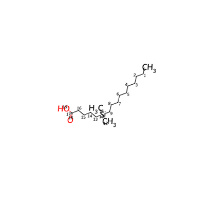 CCCCCCCCCC[Si](C)(C)CCCCC(=O)O